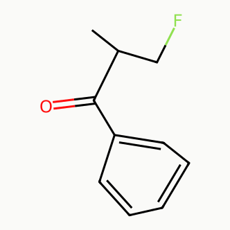 CC(CF)C(=O)c1ccccc1